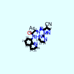 CC(=O)C(N=Nc1c(C#N)cnn1-c1ncccn1)C(=O)Nc1cccc2cccnc12